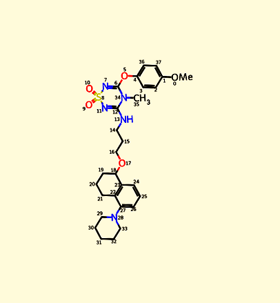 COc1ccc(OC2=NS(=O)(=O)N=C(NCCCOC3CCCc4c3cccc4N3CCCCC3)N2C)cc1